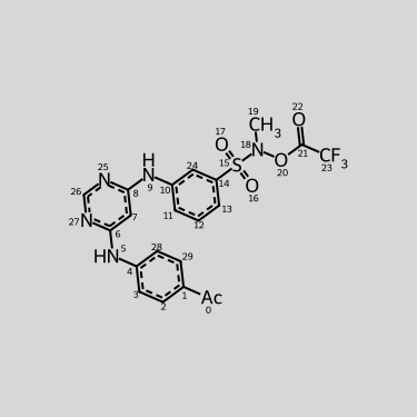 CC(=O)c1ccc(Nc2cc(Nc3cccc(S(=O)(=O)N(C)OC(=O)C(F)(F)F)c3)ncn2)cc1